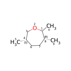 CC1OC[C@@H](C)CC[C@H]1C